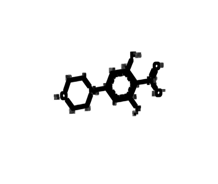 O=[N+]([O-])c1c(F)cc(N2CCOCC2)cc1F